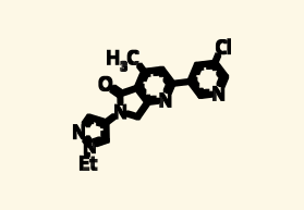 CCn1cc(N2Cc3nc(-c4cncc(Cl)c4)cc(C)c3C2=O)cn1